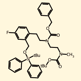 CN(CCN(CCc1ccc(F)cc1CO[Si](c1ccccc1)(c1ccccc1)C(C)(C)C)C(=O)OCc1ccccc1)C(=O)OC(C)(C)C